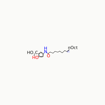 CCCCCCCC/C=C\CCCCCCCC(=O)Nc1ccc(O)c(C(=O)O)c1